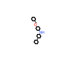 c1ccc(COc2ccc(Nc3ccc(-c4ccccc4)cc3)cc2)cc1